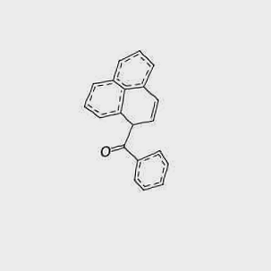 O=C(c1ccccc1)C1C=Cc2cccc3cccc1c23